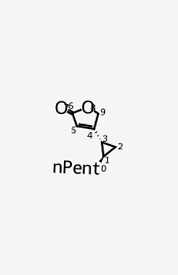 CCCCC[C@@H]1C[C@H]1C1=CC(=O)OC1